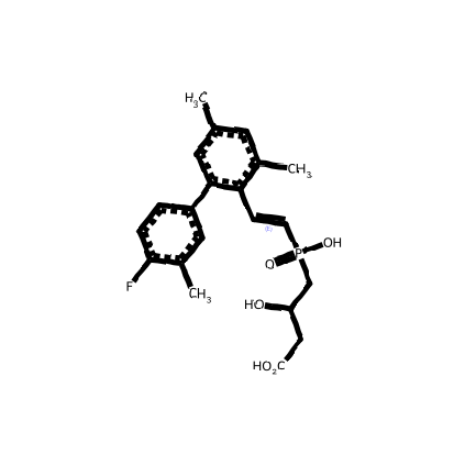 Cc1cc(C)c(/C=C/P(=O)(O)CC(O)CC(=O)O)c(-c2ccc(F)c(C)c2)c1